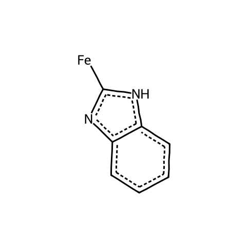 [Fe][c]1nc2ccccc2[nH]1